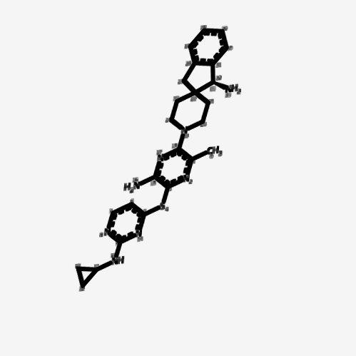 Cc1nc(Sc2ccnc(NC3CC3)n2)c(N)nc1N1CCC2(CC1)Cc1ccccc1[C@H]2N